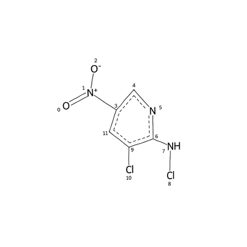 O=[N+]([O-])c1cnc(NCl)c(Cl)c1